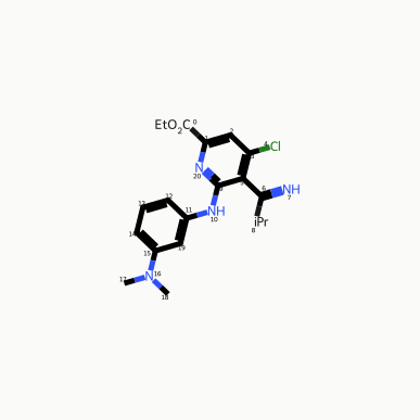 CCOC(=O)c1cc(Cl)c(C(=N)C(C)C)c(Nc2cccc(N(C)C)c2)n1